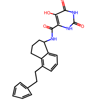 O=C(NC1CCCc2c(CCc3ccccc3)cccc21)c1[nH]c(=O)[nH]c(=O)c1O